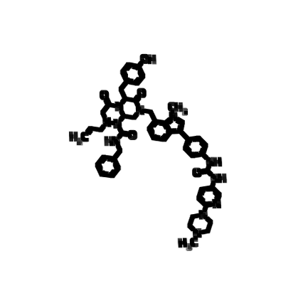 C=CCN1CC(=O)N2C(Cc3ccc(O)cc3)C(=O)N(Cc3cccc4c(-c5ccc(NC(=O)Nc6ccc(N7CCN(C)CC7)nc6)cc5)cn(C)c34)CC2N1C(=O)NCc1ccccc1